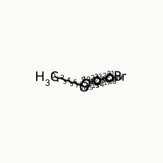 CCCCCCCCC1CCC(c2ccc(-c3ccc(Br)cc3)cc2)CO1